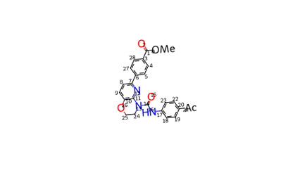 COC(=O)c1ccc(-c2ccc3c(n2)N(C(=O)Nc2ccc(C(C)=O)cc2)CCO3)cc1